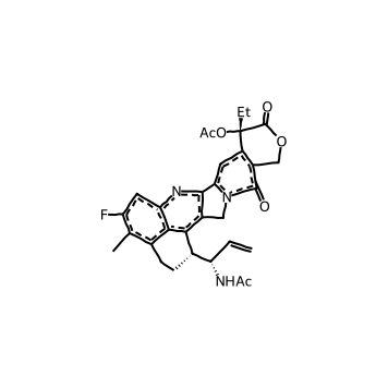 C=C[C@H](NC(C)=O)[C@@H]1CCc2c(C)c(F)cc3nc4c(c1c23)Cn1c-4cc2c(c1=O)COC(=O)[C@@]2(CC)OC(C)=O